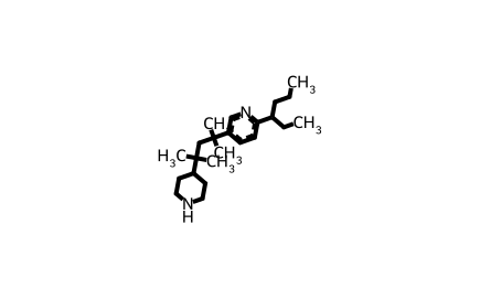 CCCC(CC)c1ccc(C(C)(C)CC(C)(C)C2CCNCC2)cn1